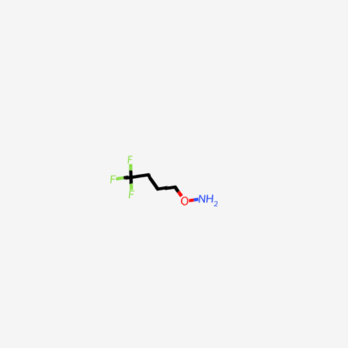 NOCCCC(F)(F)F